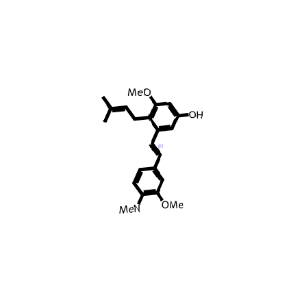 CNc1ccc(/C=C/c2cc(O)cc(OC)c2CC=C(C)C)cc1OC